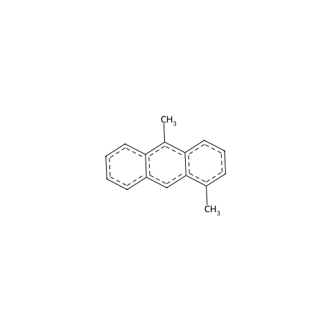 Cc1cccc2c(C)c3ccccc3cc12